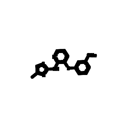 COc1cccc(Sc2cccnc2Nc2nc(C)cs2)c1